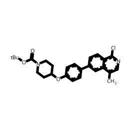 Cc1cnc(Cl)c2ccc(-c3ccc(OC4CCN(C(=O)OC(C)(C)C)CC4)cc3)cc12